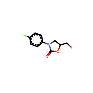 O=C1OC(CI)CN1c1ccc(F)cc1